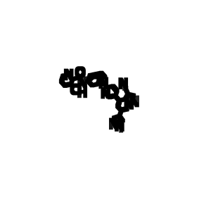 Cn1cc(-c2cc(-c3ccc(N4C5CC6CC4CC(NC(=O)c4ncccc4Cl)(C6)C5)nc3)c3c(C#N)cnn3c2)cn1